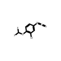 FC(F)Oc1ccc(N=C=S)cc1Cl